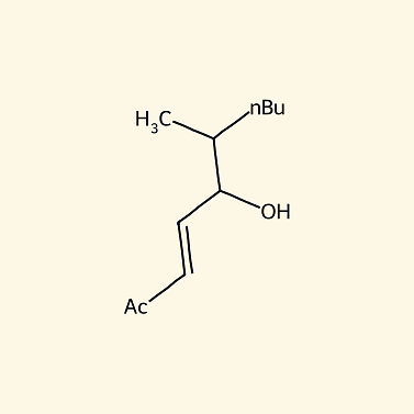 CCCCC(C)C(O)C=CC(C)=O